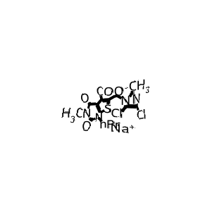 CCCn1c(=O)n(C)c(=O)c2c(C(=O)[O-])c(Cn3c(C)nc(Cl)c3Cl)sc21.[Na+]